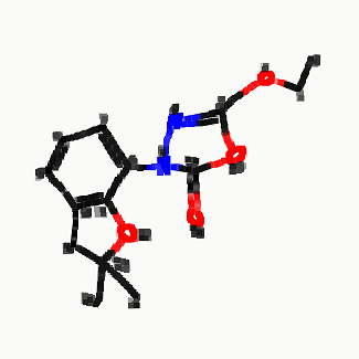 CCOc1nn(-c2cccc3c2OC(C)(C)C3)c(=O)o1